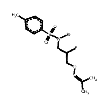 CCN(CC(F)CON=C(C)C)S(=O)(=O)c1ccc(C)cc1